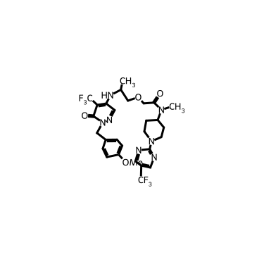 COc1ccc(Cn2ncc(NC(C)COCC(=O)N(C)C3CCN(c4ncc(C(F)(F)F)cn4)CC3)c(C(F)(F)F)c2=O)cc1